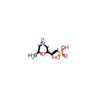 BC1CN(I)CC(/C=C/P(=O)(O)O)O1